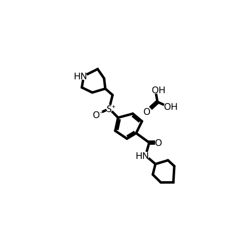 O=C(NC1CCCCC1)c1ccc([S+]([O-])CC2CCNCC2)cc1.O=C(O)O